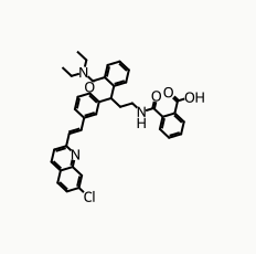 CCN(CC)C(=O)c1ccccc1C(CCNC(=O)c1ccccc1C(=O)O)c1cccc(C=Cc2ccc3ccc(Cl)cc3n2)c1